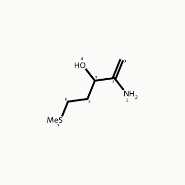 C=C(N)C(O)CCSC